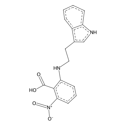 O=C(O)c1c(NCCc2c[nH]c3ccccc23)cccc1[N+](=O)[O-]